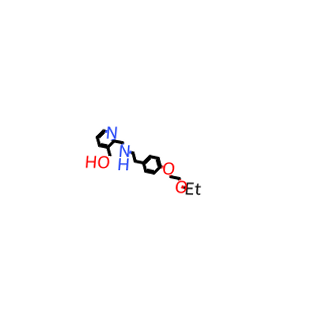 CCOCCOc1ccc(CCNCc2ncccc2CO)cc1